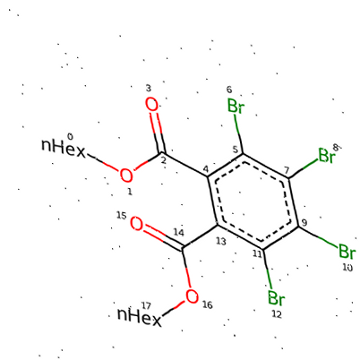 CCCCCCOC(=O)c1c(Br)c(Br)c(Br)c(Br)c1C(=O)OCCCCCC